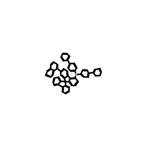 C1=CCCC(c2ccc(N(c3ccc(-c4ccccc4)cc3)c3cccc4c3-c3ccc(-c5cccc6ccccc56)cc3C43c4ccccc4-c4ccccc43)cc2)=C1